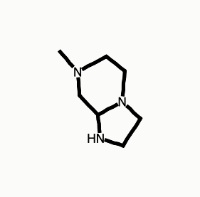 CN1CCN2CCNC2C1